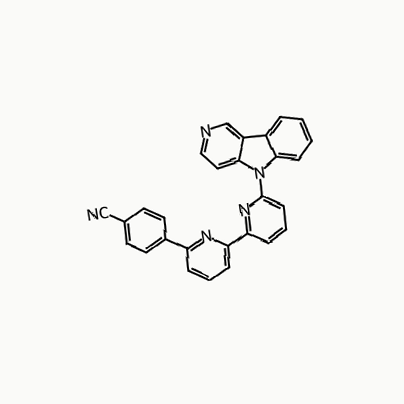 N#Cc1ccc(-c2cccc(-c3cccc(-n4c5ccccc5c5cnccc54)n3)n2)cc1